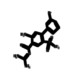 Cc1cc(-c2cccc(Br)c2)c(S(C)(=O)=O)cc1C(=O)N=C(N)N